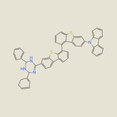 C1=CCCC(C2N=C(c3ccc4c(c3)sc3c(-c5cccc6sc7cc(-n8c9ccccc9c9ccccc98)ccc7c56)cccc34)NC(c3ccccc3)N2)=C1